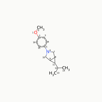 COc1ccc(N2CC3C(C2)C3C(C)C)cc1